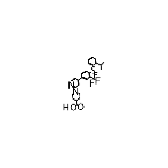 CC(C)c1ccccc1Sc1ccc(-c2ccnc(N3CCC(C(=O)O)CC3)c2)cc1C(F)(F)F